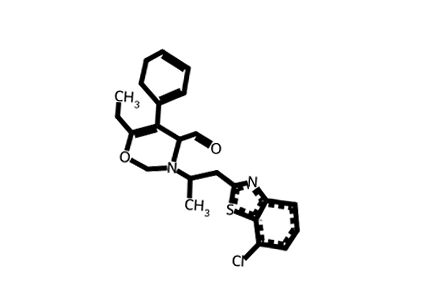 CCC1=C(C2=CC=CCC2)C(C=O)N(C(C)Cc2nc3cccc(Cl)c3s2)CO1